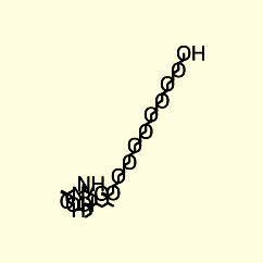 C=C(CNC(=N)C(C)(C)CC(CC(C)C(=O)OCCOCCOCCOCCOCCOCCOCCOCCOCCO)C(=O)CC)OO